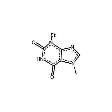 CCn1c(=O)[nH]c(=O)c2c1ncn2C